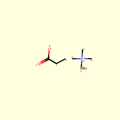 CCC(=O)[O-].CCCC[N+](C)(C)C